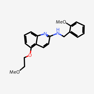 COCCOc1cccc2nc(NCc3ccccc3OC)ccc12